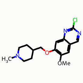 COc1cc2cnc(Cl)nc2cc1OCC1CCN(C)CC1